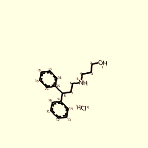 Cl.OCCCNCCC(c1ccccc1)c1ccccc1